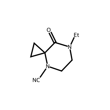 CCN1CCN(C#N)C2(CC2)C1=O